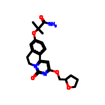 CC(C)(Oc1ccc2c(c1)CCn1c-2cc(OCC2CCCO2)nc1=O)C(N)=O